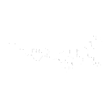 CO/N=C(\C(=O)N[C@@H]1C(=O)N2C(C(=O)O)=C(CN3C=CN4NC(SCCCO)=CC=C34)CS[C@@H]12)c1csc(N)n1